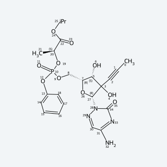 CC#CC1(O)[C@@H](O)[C@@H](COP(=O)(Oc2ccccc2)O[C@@H](C)C(=O)OC(C)C)O[C@H]1n1ncc(N)nc1=O